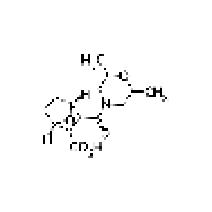 CC1CN(C(=O)C2C(C(=O)O)[C@@H]3CC[C@H]2O3)CC(C)O1